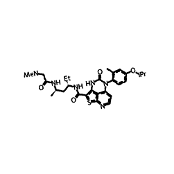 CC[C@@H](C[C@@H](C)NC(=O)CNC)NC(=O)c1sc2nccc3c2c1NC(=O)N3c1ccc(OC(C)C)cc1C